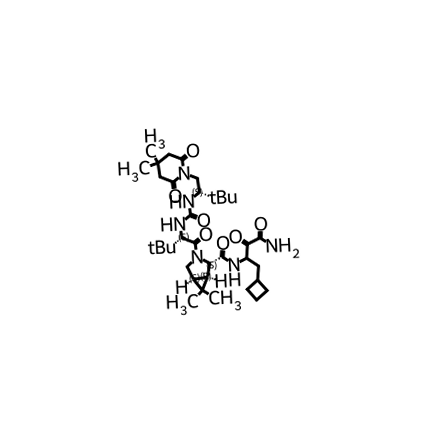 CC1(C)CC(=O)N(C[C@@H](NC(=O)N[C@H](C(=O)N2C[C@H]3[C@@H]([C@H]2C(=O)NC(CC2CCC2)C(=O)C(N)=O)C3(C)C)C(C)(C)C)C(C)(C)C)C(=O)C1